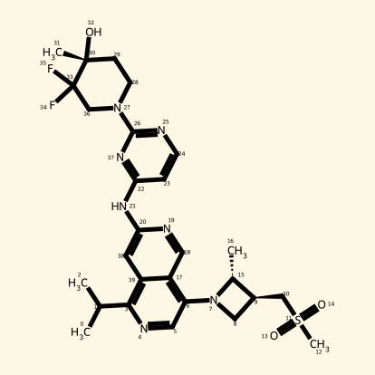 CC(C)c1ncc(N2C[C@H](CS(C)(=O)=O)[C@H]2C)c2cnc(Nc3ccnc(N4CC[C@@](C)(O)C(F)(F)C4)n3)cc12